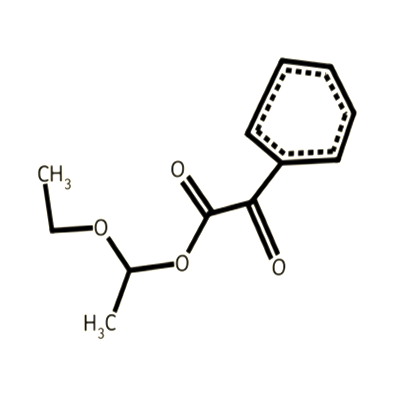 CCOC(C)OC(=O)C(=O)c1ccccc1